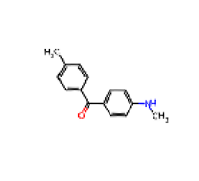 CNc1ccc(C(=O)c2ccc(C)cc2)cc1